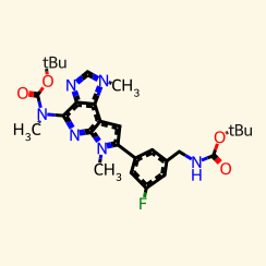 CN(C(=O)OC(C)(C)C)c1nc2c(cc(-c3cc(F)cc(CNC(=O)OC(C)(C)C)c3)n2C)c2c1ncn2C